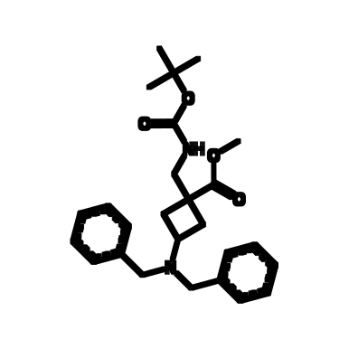 COC(=O)C1(CNC(=O)OC(C)(C)C)CC(N(Cc2ccccc2)Cc2ccccc2)C1